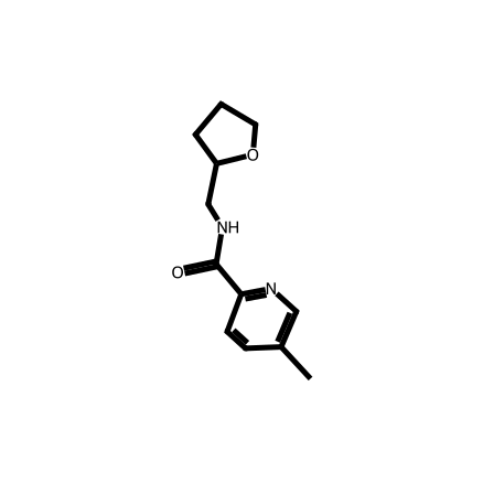 Cc1ccc(C(=O)NCC2CCCO2)nc1